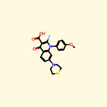 COc1ccc(-n2c(F)c(C(=O)O)c(=O)c3ccc(N4CCSCC4)cc32)cc1